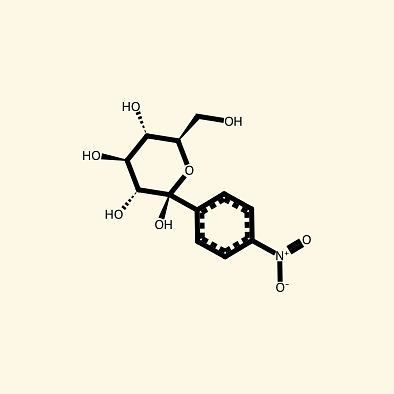 O=[N+]([O-])c1ccc([C@@]2(O)O[C@H](CO)[C@@H](O)[C@H](O)[C@H]2O)cc1